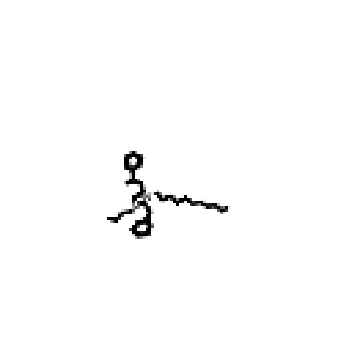 CCCCCCCCCCC[n+]1c(CC(C)c2ccccc2)cn(CCCC)c1Cc1ccccc1